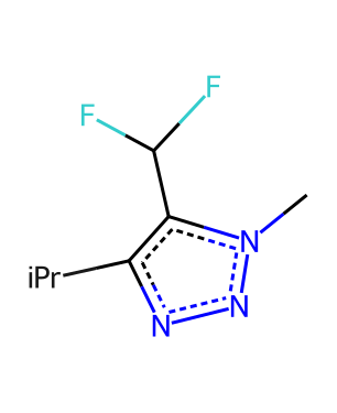 CC(C)c1nnn(C)c1C(F)F